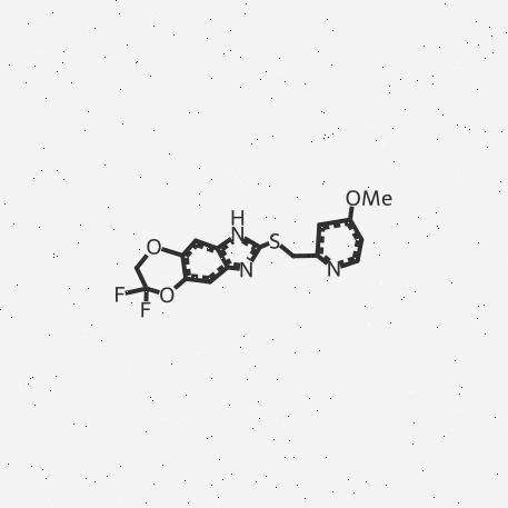 COc1ccnc(CSc2nc3cc4c(cc3[nH]2)OCC(F)(F)O4)c1